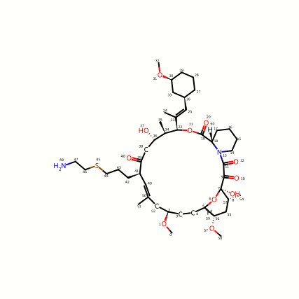 CO[C@@H]1CC[C@H]2O[C@@](O)(C(=O)C(=O)N3CCCC[C@H]3C(=O)O[C@H](/C(C)=C/[C@@H]3CCC[C@H](OC)C3)[C@H](C)[C@@H](O)CC(=O)[C@H](CCCSCCN)/C=C(\C)C1)[C@H](C)C[C@@H]2OC